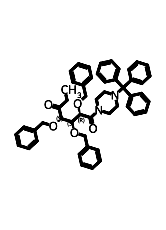 CCC(=O)[C@@H](OCc1ccccc1)[C@H](OCc1ccccc1)[C@@H](OCc1ccccc1)C(=O)N1CCN(C(c2ccccc2)(c2ccccc2)c2ccccc2)CC1